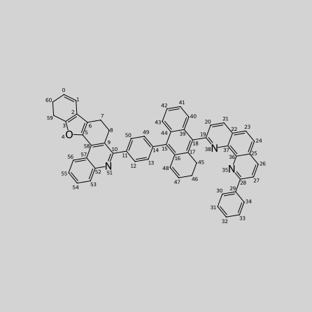 C1=Cc2c(oc3c2CCc2c(-c4ccc(-c5c6c(c(-c7ccc8ccc9ccc(-c%10ccccc%10)nc9c8n7)c7ccccc57)CCC=C6)cc4)nc4ccccc4c2-3)CC1